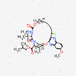 COc1ccc2nc3c(nc2c1)O[C@H]1CN(C(=O)[C@H](C(C)(C)C)NC(=O)O[C@@H]2C[C@H]2CCCCC3F)[C@H](C(=O)OCC(C)C)[C@@H]1C